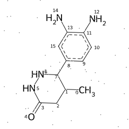 CC1CC(=O)NNC1c1ccc(N)c(N)c1